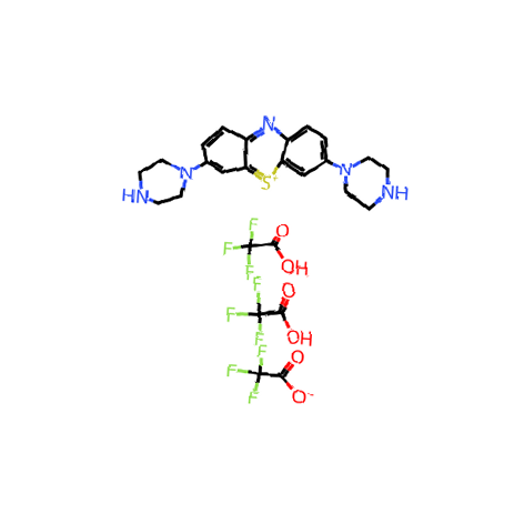 O=C(O)C(F)(F)F.O=C(O)C(F)(F)F.O=C([O-])C(F)(F)F.c1cc2nc3ccc(N4CCNCC4)cc3[s+]c2cc1N1CCNCC1